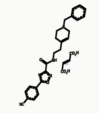 N#Cc1ccc(-c2nc(C(=O)NCCC3=CCN(Cc4ccccc4)CC3)no2)cc1.O=C(O)/C=C/C(=O)O